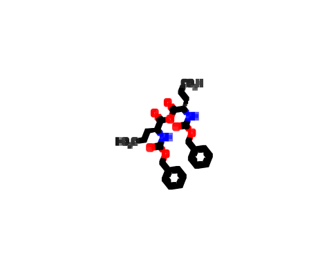 O=C(O)CC[C@H](NC(=O)OCc1ccccc1)C(=O)OC(=O)[C@H](CCC(=O)O)NC(=O)OCc1ccccc1